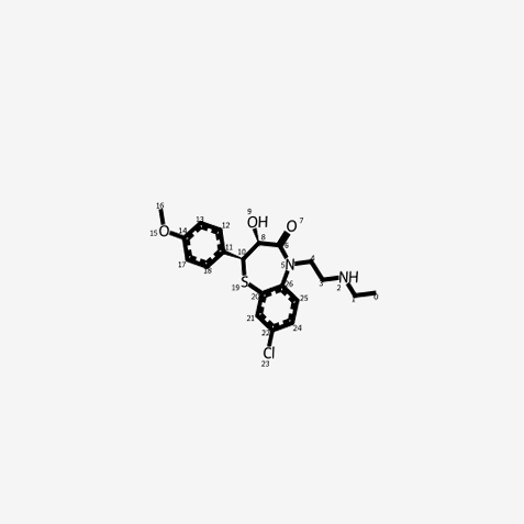 CCNCCN1C(=O)[C@H](O)[C@H](c2ccc(OC)cc2)Sc2cc(Cl)ccc21